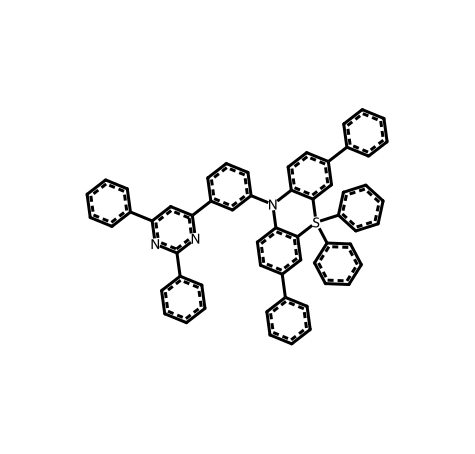 c1ccc(-c2ccc3c(c2)S(c2ccccc2)(c2ccccc2)c2cc(-c4ccccc4)ccc2N3c2cccc(-c3cc(-c4ccccc4)nc(-c4ccccc4)n3)c2)cc1